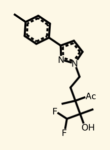 CC(=O)C(C)(CCn1ccc(-c2ccc(C)cc2)n1)C(C)(O)C(F)F